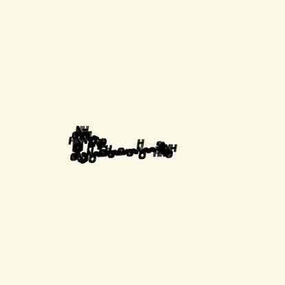 C=CC(=O)N1CCC(c2ccc(C(N)=O)c(Nc3ccc(C(=O)N4CCCC(NC(=O)CCOCCOCCOCCOCCNC(=O)CCCC[C@@H]5SCC6NC(=O)NC65)C4)cc3)n2)CC1